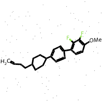 C=CCCC1CCC(c2ccc(-c3ccc(OC)c(F)c3F)cc2)CC1